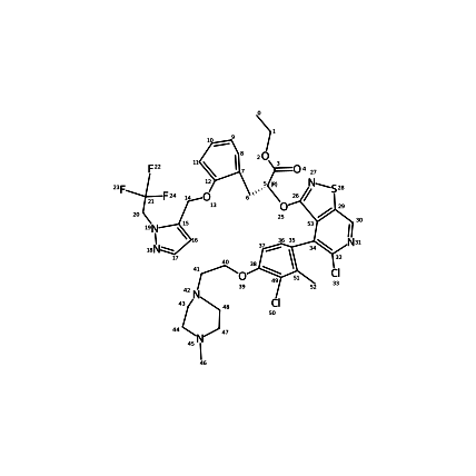 CCOC(=O)[C@@H](Cc1ccccc1OCc1ccnn1CC(F)(F)F)Oc1nsc2cnc(Cl)c(-c3ccc(OCCN4CCN(C)CC4)c(Cl)c3C)c12